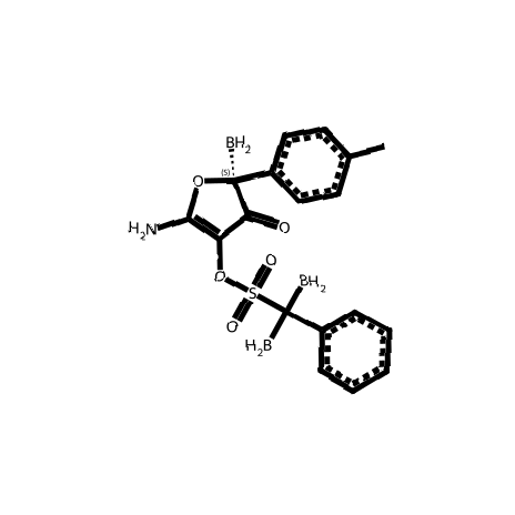 BC(B)(c1ccccc1)S(=O)(=O)OC1=C(N)O[C@@](B)(c2ccc(C)cc2)C1=O